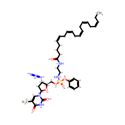 CC/C=C\C/C=C\C/C=C\C/C=C\C/C=C\CCCC(=O)NCCNP(=O)(OC[C@H]1OC(n2cc(C)c(=O)[nH]c2=O)C[C@@H]1N=[N+]=[N-])Oc1ccccc1